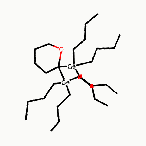 CCC[CH2][Ge]([CH2]CCC)([CH2]CCC)[C]1([Ge]([CH2]CCC)([CH2]CCC)[CH2]CCC)CCCCO1